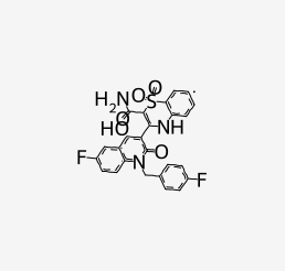 NC(=O)C1=C(c2c(O)c3cc(F)ccc3n(Cc3ccc(F)cc3)c2=O)Nc2cc[c]cc2S1(=O)=O